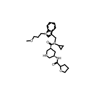 COCCCn1cc(CN(C(=O)[C@@H]2CNC[C@H](NC(=O)C3CCCO3)C2)C2CC2)c2ccccc21